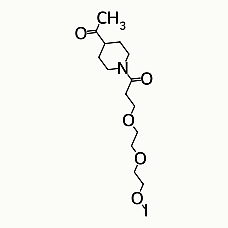 CC(=O)C1CCN(C(=O)CCOCCOCCOI)CC1